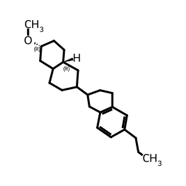 CCCc1ccc2c(c1)CCC(C1CCC3C[C@H](OC)CC[C@@H]3C1)C2